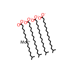 CC(C)CCCCCCCCCCCCCCC(=O)[O-].CC(C)CCCCCCCCCCCCCCC(=O)[O-].CC(C)CCCCCCCCCCCCCCC(=O)[O-].CC(C)CCCCCCCCCCCCCCC(=O)[O-].[Mo+4]